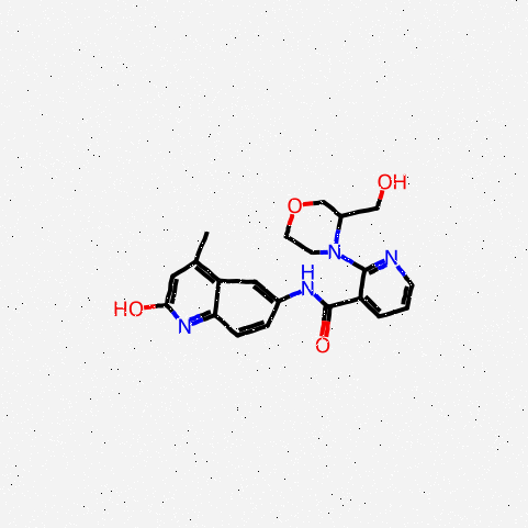 Cc1cc(O)nc2ccc(NC(=O)c3cccnc3N3CCOCC3CO)cc12